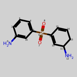 Nc1cccc(S(=O)(=O)C2=CC(N)CC=C2)c1